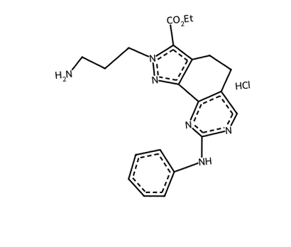 CCOC(=O)c1c2c(nn1CCCN)-c1nc(Nc3ccccc3)ncc1CC2.Cl